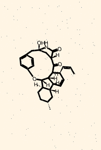 C/C=C\[C@H]1C=C[C@H]2[C@@H]3C[C@H](C)CC[C@H]3[C@@H]3Oc4ccc(cc4)C[C@@]4(O)C[C@H](C(=O)N4)C(=O)[C@@H]1[C@H]23